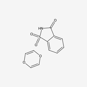 C1=COC=CO1.O=C1NS(=O)(=O)c2ccccc21